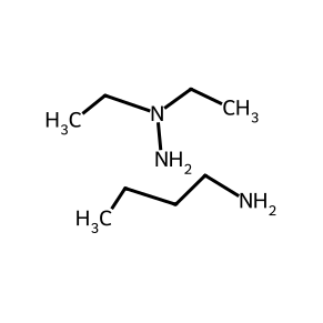 CCCCN.CCN(N)CC